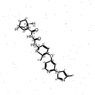 Cc1cn(-c2cc(Oc3ccc(NC(=O)NC(=O)[C@H]4C[C@@H]5CC[C@H]4O5)nc3C)ccn2)cn1